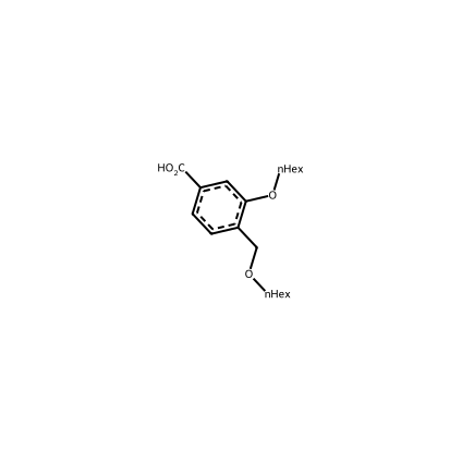 CCCCCCOCc1ccc(C(=O)O)cc1OCCCCCC